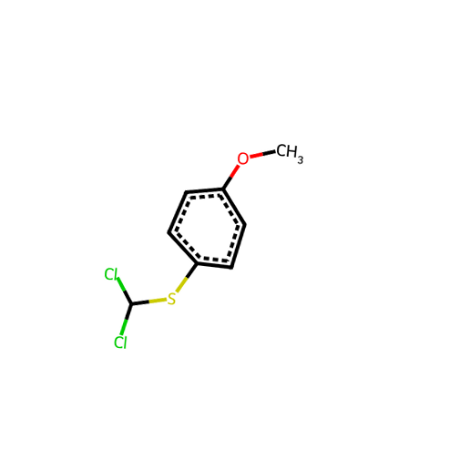 COc1ccc(SC(Cl)Cl)cc1